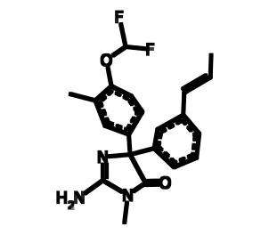 C/C=C/c1cccc(C2(c3ccc(OC(F)F)c(C)c3)N=C(N)N(C)C2=O)c1